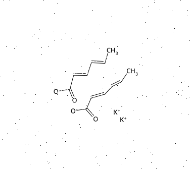 C/C=C/C=C/C(=O)[O-].C/C=C/C=C/C(=O)[O-].[K+].[K+]